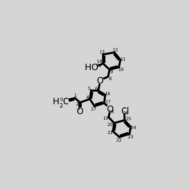 C=CC(=O)c1cc(OCc2ccccc2O)cc(OCc2ccccc2Cl)c1